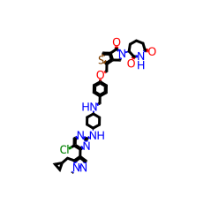 Cn1ncc(-c2nc(N[C@H]3CC[C@H](NCc4ccc(OCc5scc6c5CN([C@H]5CCCC(=O)NC5=O)C6=O)cc4)CC3)ncc2Cl)c1CC1CC1